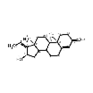 C/C=C1\[C@H](O)CC2C3CCC4=CC(=O)CC[C@]4(C)C3CC[C@]12C